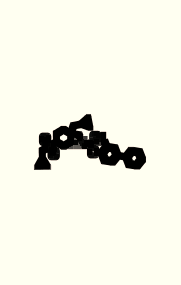 O=C(NCC1(CC2CC2)CCC(S(=O)(=O)CC2CC2)CC1)Oc1ccc(-c2ccccc2)cc1Cl